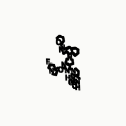 O=S1(=O)NCC2(CCCN(c3nc(OC[C@@]45CCCN4C[C@H](F)C5)nc4c3CCN(c3c5ccccc5cc5c3cnn5C3CCCCO3)C4)C2)N1